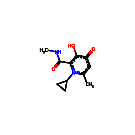 CNC(=O)c1c(O)c(=O)cc(C)n1C1CC1